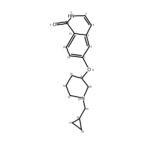 O=c1[nH]ccc2cc(OC3CCCN(CC4CC4)C3)ccc12